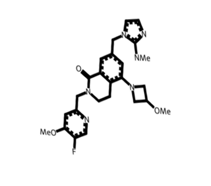 CNc1nccn1Cc1cc2c(c(N3CC(OC)C3)c1)CCN(Cc1cc(OC)c(F)cn1)C2=O